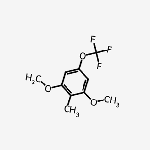 COc1cc(OC(F)(F)F)cc(OC)c1C